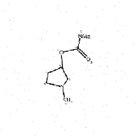 CNC(=O)OC1CCN(C)C1